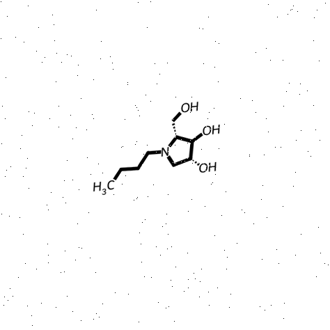 CCCCN1C[C@@H](O)C(O)[C@H]1CO